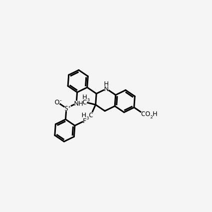 CC1(C)Cc2cc(C(=O)O)ccc2NC1c1ccccc1N[S+]([O-])c1ccccc1F